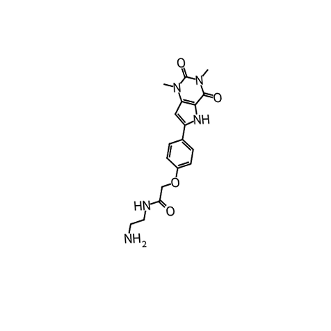 Cn1c(=O)c2[nH]c(-c3ccc(OCC(=O)NCCN)cc3)cc2n(C)c1=O